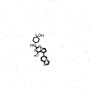 COc1nc(N[C@H]2CC[C@@](C)(O)CC2)nn2ccc(-c3ccc4nccn4c3)c12